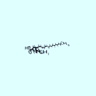 CCCCCCCCCCCCCc1cc(C(=O)O)nn1C